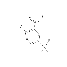 CCC(=O)c1cc(C(F)(F)F)ccc1N